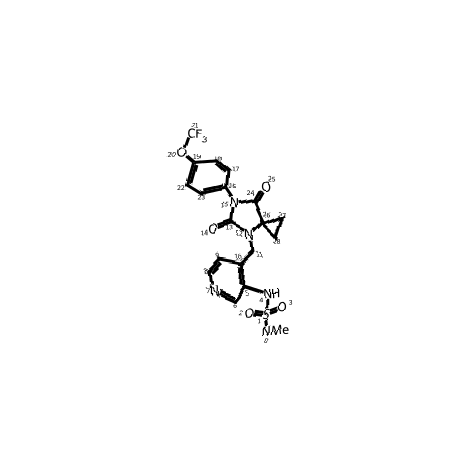 CNS(=O)(=O)Nc1cnccc1CN1C(=O)N(c2ccc(OC(F)(F)F)cc2)C(=O)C12CC2